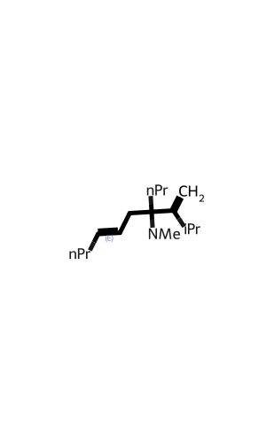 C=C(C(C)C)C(C/C=C/CCC)(CCC)NC